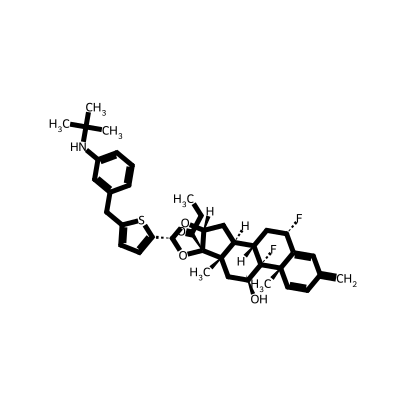 C=C1C=C[C@@]2(C)C(=C1)[C@@H](F)C[C@H]1[C@@H]3C[C@H]4O[C@@H](c5ccc(Cc6cccc(NC(C)(C)C)c6)s5)O[C@@]4(C(=O)CC)[C@@]3(C)C[C@H](O)[C@@]12F